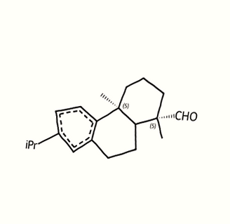 CC(C)c1ccc2c(c1)CCC1[C@@](C)(C=O)CCC[C@]21C